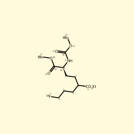 CCOC(=O)C(CCC[18F])CC[C@H](NC(=O)OC(C)(C)C)C(=O)OC(C)(C)C